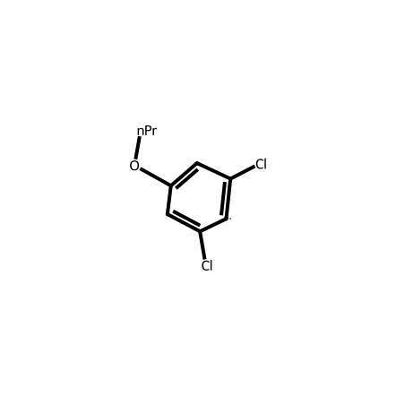 CCCOc1cc(Cl)[c]c(Cl)c1